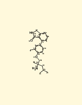 Cc1cc(-c2ccnc3c2C(=O)NC3)ccc1OCC(C)(N)CC(C)C